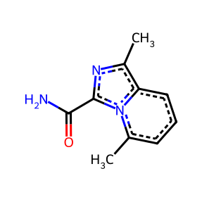 Cc1nc(C(N)=O)n2c(C)cccc12